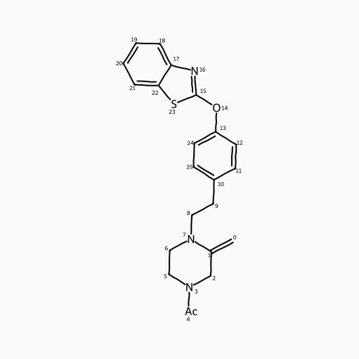 C=C1CN(C(C)=O)CCN1CCc1ccc(Oc2nc3ccccc3s2)cc1